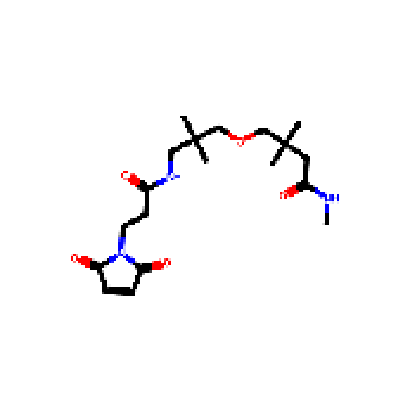 CNC(=O)CC(C)(C)COCC(C)(C)CNC(=O)CCN1C(=O)C=CC1=O